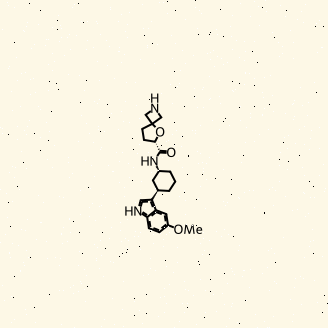 COc1ccc2[nH]cc([C@@H]3CCC[C@H](NC(=O)[C@@H]4CCC5(CNC5)O4)C3)c2c1